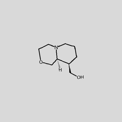 OC[C@@H]1CCCN2CCOC[C@H]12